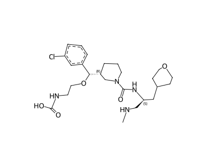 CNC[C@H](CC1CCOCC1)NC(=O)N1CCC[C@@H](C(OCCNC(=O)O)c2cccc(Cl)c2)C1